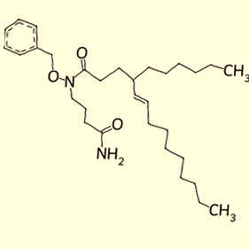 CCCCCCCC/C=C/C(CCCCCC)CCC(=O)N(CCCC(N)=O)OCc1ccccc1